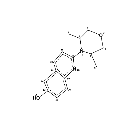 CC1COCC(C)N1c1ccc2cc(O)ccc2n1